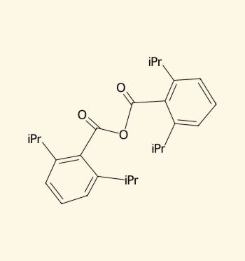 CC(C)c1cccc(C(C)C)c1C(=O)OC(=O)c1c(C(C)C)cccc1C(C)C